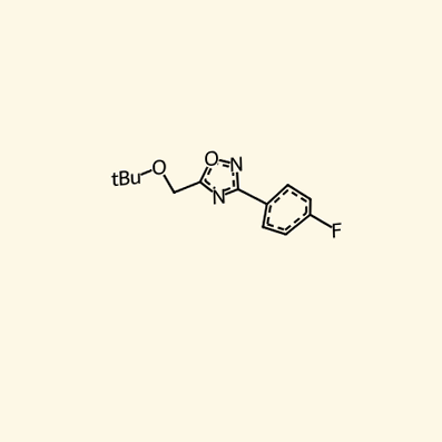 CC(C)(C)OCc1nc(-c2ccc(F)cc2)no1